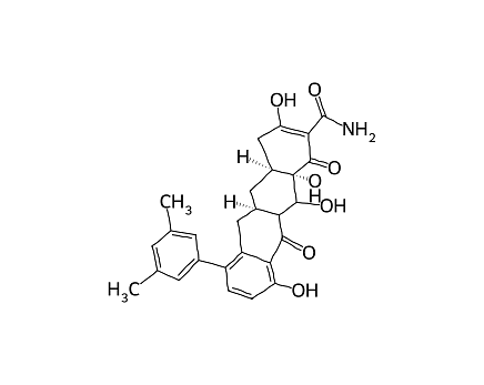 Cc1cc(C)cc(-c2ccc(O)c3c2C[C@H]2C[C@H]4CC(O)=C(C(N)=O)C(=O)[C@@]4(O)C(O)C2C3=O)c1